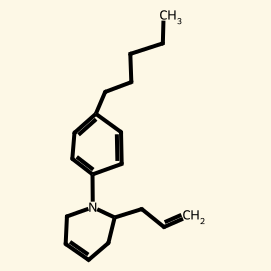 C=CCC1CC=CCN1c1ccc(CCCCC)cc1